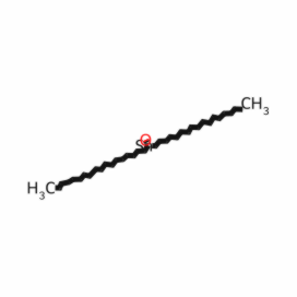 CCCCCCCCCCCCCCCCC[CH2][Sn](=[O])[CH2]CCCCCCCCCCCCCCCCC